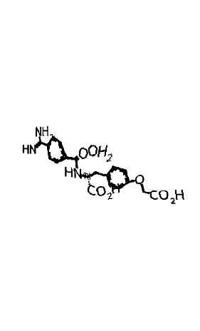 N=C(N)c1ccc(C(=O)N[C@H](Cc2ccc(OCC(=O)O)cc2)C(=O)O)cc1.O